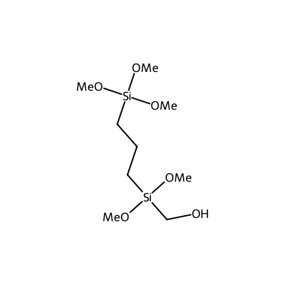 CO[Si](CO)(CCC[Si](OC)(OC)OC)OC